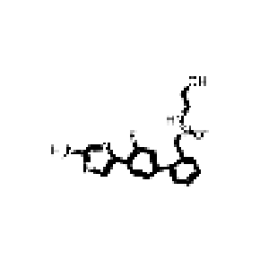 Nc1cnc(-c2ccc(-c3ccccc3C[S+]([O-])NCCO)cc2F)cn1